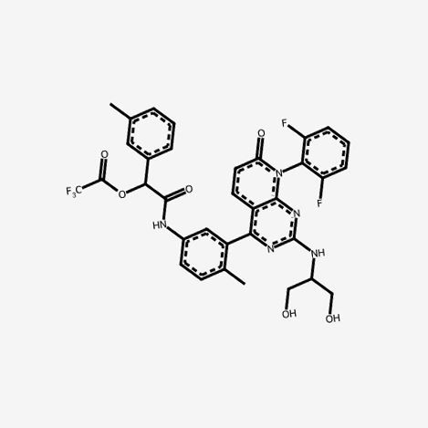 Cc1cccc(C(OC(=O)C(F)(F)F)C(=O)Nc2ccc(C)c(-c3nc(NC(CO)CO)nc4c3ccc(=O)n4-c3c(F)cccc3F)c2)c1